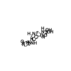 Cc1c(-c2cc3cc(Nc4cc5n(n4)CC(=O)N(C)CC5)ncc3c(N)c2F)cnc2c1NCS(O)(O)CO2